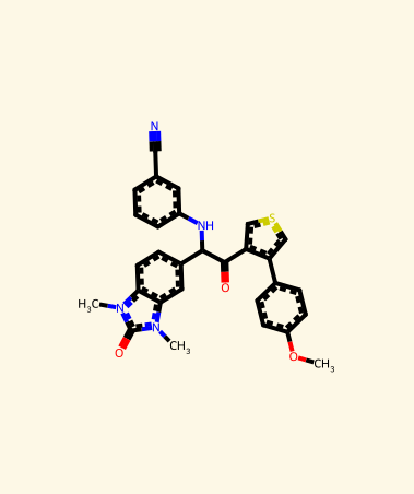 COc1ccc(-c2cscc2C(=O)C(Nc2cccc(C#N)c2)c2ccc3c(c2)n(C)c(=O)n3C)cc1